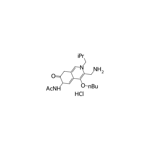 CCCCOC1=C(CN)N(CC(C)C)C=C2CC(=O)C(NC(C)=O)C=C21.Cl